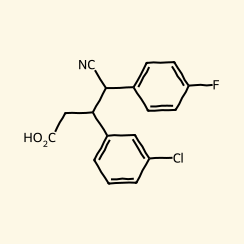 N#CC(c1ccc(F)cc1)C(CC(=O)O)c1cccc(Cl)c1